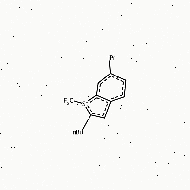 CCCCc1cc2ccc(C(C)C)cc2[s+]1C(F)(F)F